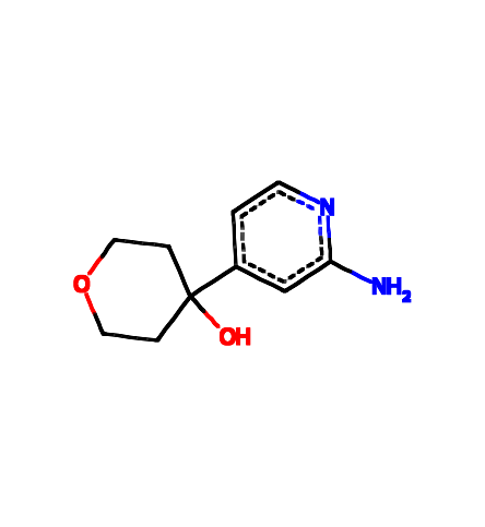 Nc1cc(C2(O)CCOCC2)ccn1